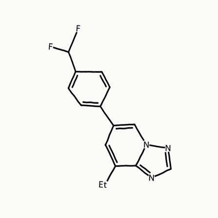 CCc1cc(-c2ccc(C(F)F)cc2)cn2ncnc12